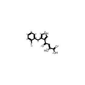 O=C(O)C(O)=CC(=O)c1c[nH]cc1Cc1ccccc1F